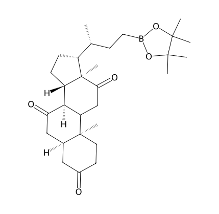 C[C@H](CCB1OC(C)(C)C(C)(C)O1)[C@H]1CC[C@H]2[C@@H]3C(=O)C[C@@H]4CC(=O)CC[C@]4(C)C3CC(=O)[C@]12C